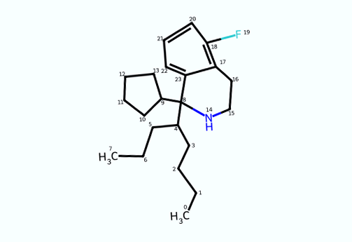 CCCCC(CCC)C1(C2CCCC2)NCCc2c(F)cccc21